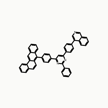 c1ccc(-c2nc(-c3ccc(-c4cncc5ccccc45)cc3)cc(-c3ccc(-c4c5ccccc5cc5c4ccc4ccccc45)cc3)n2)cc1